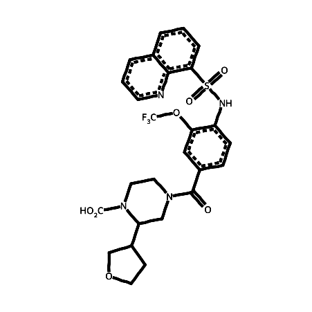 O=C(c1ccc(NS(=O)(=O)c2cccc3cccnc23)c(OC(F)(F)F)c1)N1CCN(C(=O)O)C(C2CCOC2)C1